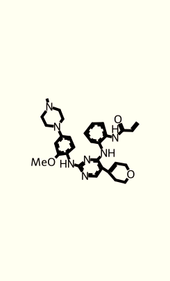 C=CC(=O)Nc1ccccc1Nc1nc(Nc2ccc(N3CCN(C)CC3)cc2OC)ncc1C1=CCOCC1